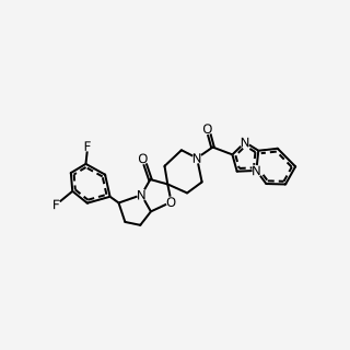 O=C(c1cn2ccccc2n1)N1CCC2(CC1)OC1CCC(c3cc(F)cc(F)c3)N1C2=O